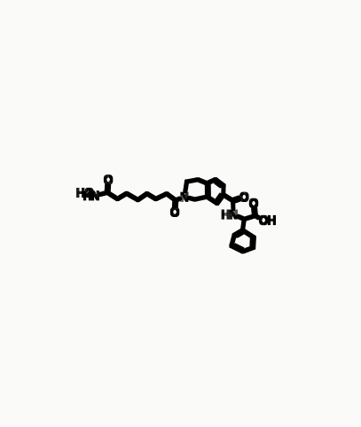 O=C(CCCCCCC(=O)N1CCc2ccc(C(=O)NC(C(=O)O)c3ccccc3)cc2C1)NO